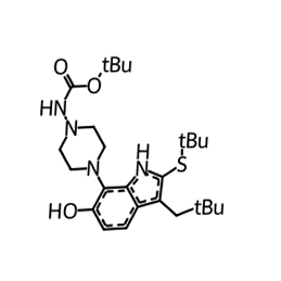 CC(C)(C)Cc1c(SC(C)(C)C)[nH]c2c(N3CCN(NC(=O)OC(C)(C)C)CC3)c(O)ccc12